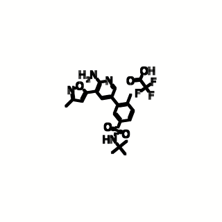 Cc1cc(-c2cc(-c3cc(S(=O)(=O)NC(C)(C)C)ccc3C)cnc2N)on1.O=C(O)C(F)(F)F